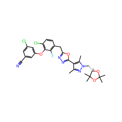 Cc1nn(C[C@@H]2OC(C)(C)OC2(C)C)c(C)c1-c1nnc(Cc2ccc(Cl)c(Oc3cc(Cl)cc(C#N)c3)c2F)o1